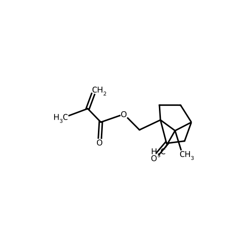 C=C(C)C(=O)OCC12CCC(CC1=O)C2(C)C